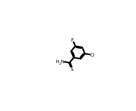 NC(=S)c1cc(F)cc(Cl)c1